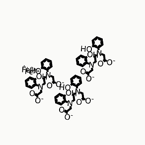 O=C([O-])CN(CCN(CC(=O)[O-])c1ccccc1O)c1ccccc1O.O=C([O-])CN(CCN(CC(=O)[O-])c1ccccc1O)c1ccccc1O.O=C([O-])CN(CCN(CC(=O)[O-])c1ccccc1O)c1ccccc1O.[Fe+3].[Fe+3]